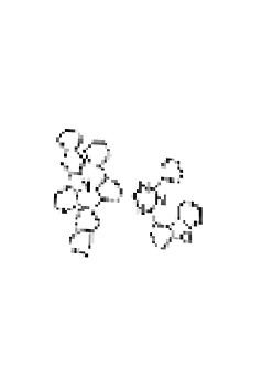 c1ccc(-c2nc(-c3cc(-c4ccccc4)c(-n4c5ccccc5c5cc6ccccc6cc54)c(-c4ccc5ccccc5c4)c3)nc(-c3cccc4oc5ccccc5c34)n2)cc1